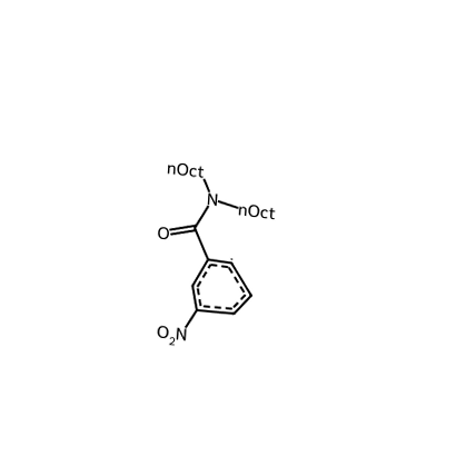 CCCCCCCCN(CCCCCCCC)C(=O)c1[c]ccc([N+](=O)[O-])c1